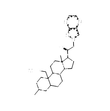 COCC12CCC(C)CC1CCC1C3CCC(C(=O)Cn4cc5nccnc5n4)C3(C)CCC12